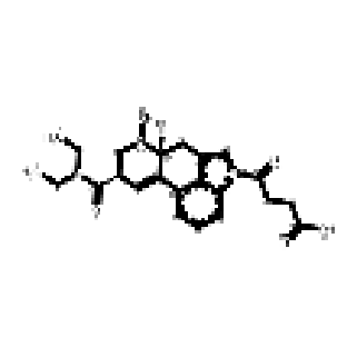 CCN(CC)C(=O)[C@@H]1C=C2c3cccc4c3c(cn4C(=O)CCC(=O)O)C[C@H]2N(C)C1